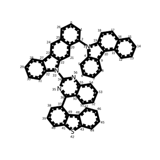 c1cc(-n2c3ccccc3c3c4ccccc4ccc32)c2cc3c(cc2c1)c1ccccc1n3-c1nc(-c2cccc3sc4ccccc4c23)c2ccccc2n1